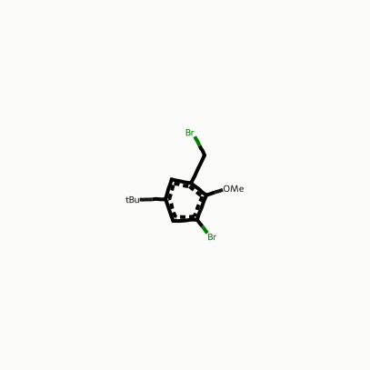 COc1c(Br)cc(C(C)(C)C)cc1CBr